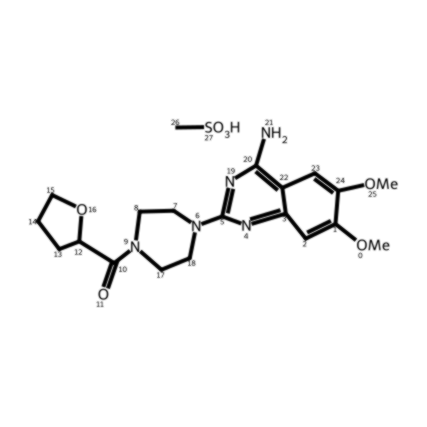 COc1cc2nc(N3CCN(C(=O)C4CCCO4)CC3)nc(N)c2cc1OC.CS(=O)(=O)O